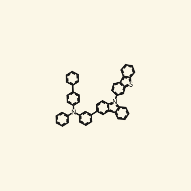 c1ccc(-c2ccc(N(c3ccccc3)c3cccc(-c4ccc5c(c4)c4ccccc4n5-c4ccc5c(c4)sc4ccccc45)c3)cc2)cc1